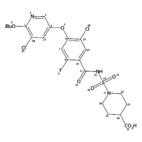 CC(C)COc1ncc(Oc2cc(F)c(C(=O)NS(=O)(=O)N3CCC(C(=O)O)CC3)cc2Cl)cc1Cl